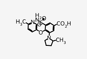 Cc1ccc(Oc2c(N3CCCC3C)cc(C(=O)O)cc2S(N)(=O)=O)cn1